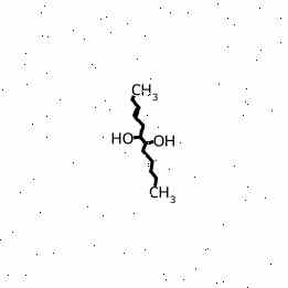 CC/C=C/CC(O)C(O)CCCCC